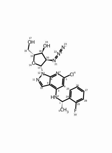 C[C@H](Nc1cc(Cl)nc2c1cnn2[C@@H]1O[C@H](CO)[C@@H](O)[C@H]1N=[N+]=[N-])c1ccccc1F